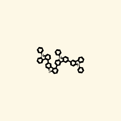 c1ccc(-n2c3ccccc3c3cc(-c4ccc5c(c4)c4cc(-c6cccc7sc8ccc(-c9cccc%10c9c9ccccc9n%10-c9ccccc9)cc8c67)ccc4n5-c4ccccc4)ccc32)cc1